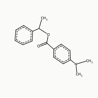 CC(OC(=O)c1ccc(N(C)C)cc1)c1ccccc1